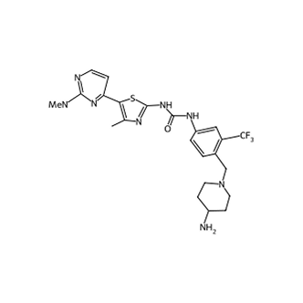 CNc1nccc(-c2sc(NC(=O)Nc3ccc(CN4CCC(N)CC4)c(C(F)(F)F)c3)nc2C)n1